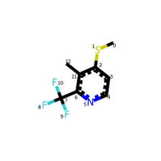 CSc1ccnc(C(F)(F)F)c1C